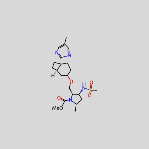 COC(=O)N1[C@H](C)C[C@H](NS(C)(=O)=O)[C@@H]1CO[C@@H]1CC[C@]2(c3ncc(C)cn3)CC[C@@H]2C1